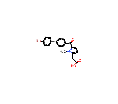 Cn1c(CC(=O)O)ccc1C(=O)c1ccc(-c2ccc(Br)cc2)cc1